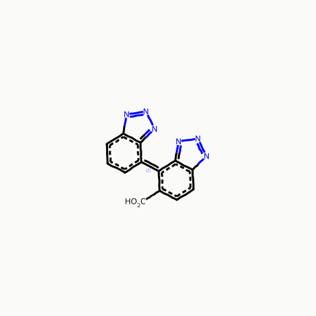 O=C(O)c1ccc2c(/c1=c1/cccc3c1=NN=N3)=NN=N2